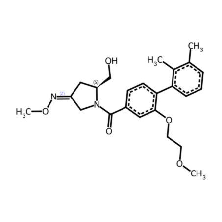 COCCOc1cc(C(=O)N2C/C(=N\OC)C[C@H]2CO)ccc1-c1cccc(C)c1C